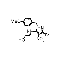 COc1ccc(Cn2nc(Br)c([N+](=O)[O-])c2NCCO)cc1